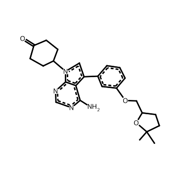 CC1(C)CCC(COc2cccc(-c3cn(C4CCC(=O)CC4)c4ncnc(N)c34)c2)O1